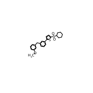 COc1cccc(Cc2cccc(-c3ccc(S(=O)(=O)C4CCCCC4)s3)c2)c1